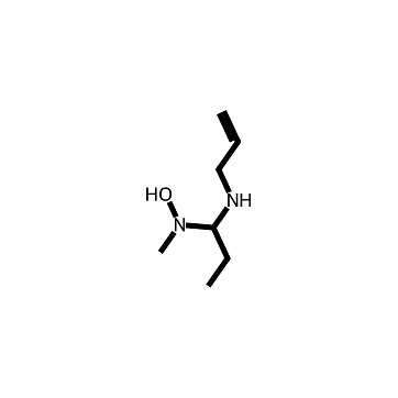 C=CCNC(CC)N(C)O